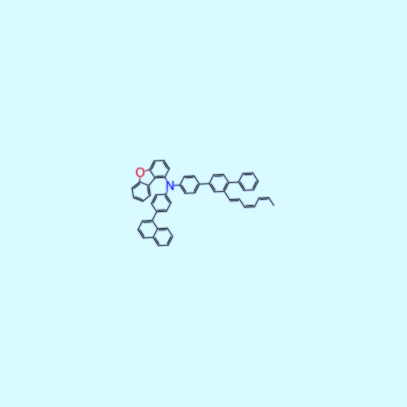 C\C=C/C=C\C=C\c1cc(-c2ccc(N(c3ccc(-c4cccc5ccccc45)cc3)c3cccc4oc5ccccc5c34)cc2)ccc1-c1ccccc1